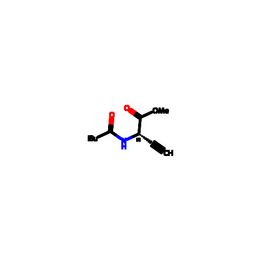 C#C[C@H](NC(=O)C(C)CC)C(=O)OC